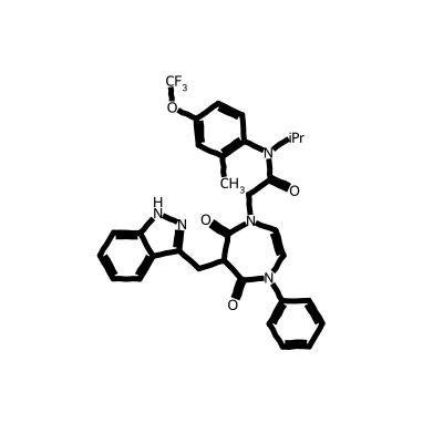 Cc1cc(OC(F)(F)F)ccc1N(C(=O)CN1C=CN(c2ccccc2)C(=O)C(Cc2n[nH]c3ccccc23)C1=O)C(C)C